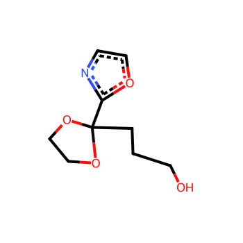 OCCCC1(c2ncco2)OCCO1